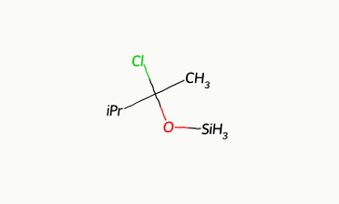 CC(C)C(C)(Cl)O[SiH3]